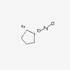 [CH]1CCCC1.[Cl][Pd][Cl].[Fe]